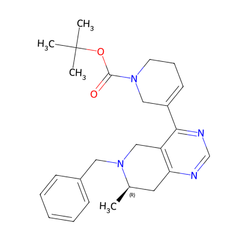 C[C@@H]1Cc2ncnc(C3=CCCN(C(=O)OC(C)(C)C)C3)c2CN1Cc1ccccc1